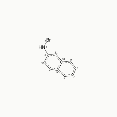 BrNc1ccc2ccccc2c1